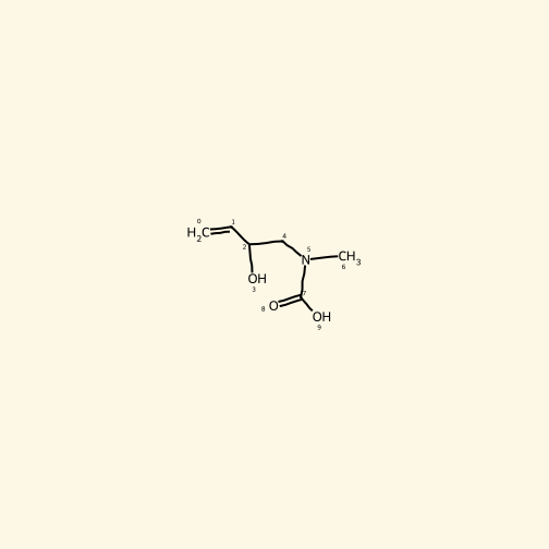 C=CC(O)CN(C)C(=O)O